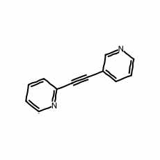 C(#Cc1ccc[c]n1)c1cccnc1